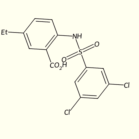 CCc1ccc(NS(=O)(=O)c2cc(Cl)cc(Cl)c2)c(C(=O)O)c1